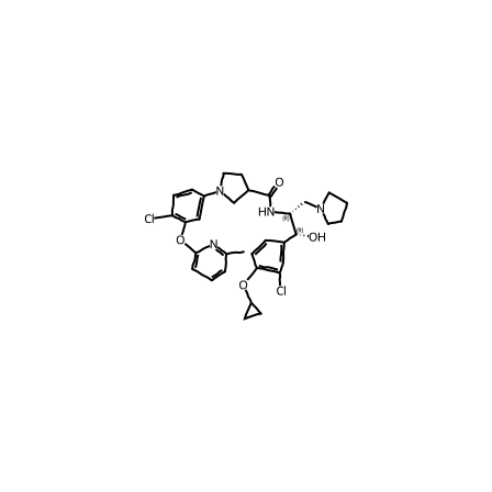 Cc1cccc(Oc2cc(N3CCC(C(=O)N[C@H](CN4CCCC4)[C@H](O)c4ccc(OC5CC5)c(Cl)c4)C3)ccc2Cl)n1